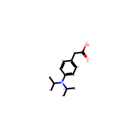 CC(C)N(c1ccc(CC(=O)O)cc1)C(C)C